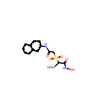 CCCCCCC(C(=O)NO)S(=O)(=O)CC(=O)Nc1ccc2ccccc2c1